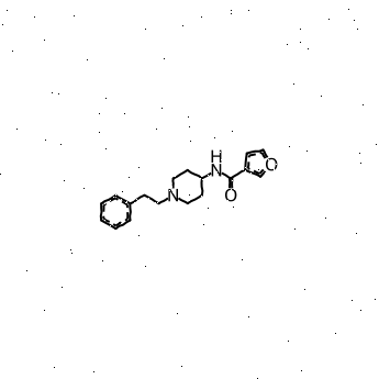 O=C(NC1CCN(CCc2ccccc2)CC1)c1ccoc1